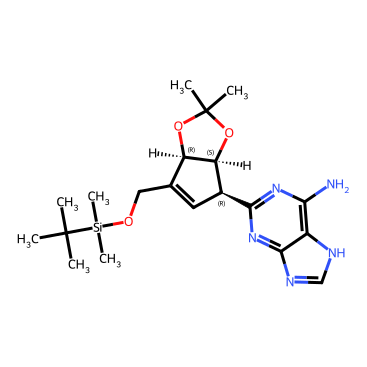 CC1(C)O[C@@H]2[C@H](O1)C(CO[Si](C)(C)C(C)(C)C)=C[C@@H]2c1nc(N)c2[nH]cnc2n1